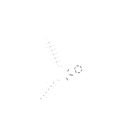 O=C(OCCC(F)(F)C(F)(F)C(F)(F)C(F)(F)C(F)(F)C(F)(F)F)C(=Cc1ccccc1)C(=O)OCCC(F)(F)C(F)(F)C(F)(F)C(F)(F)C(F)(F)C(F)(F)F